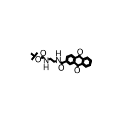 CC(C)(C)OC(=O)NCCNC(=O)c1ccc2c(c1)C(=O)c1ccccc1C2=O